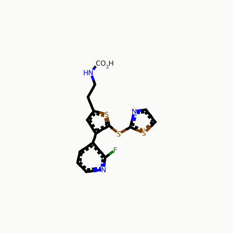 O=C(O)NCCc1cc(-c2cccnc2F)c(Sc2nccs2)s1